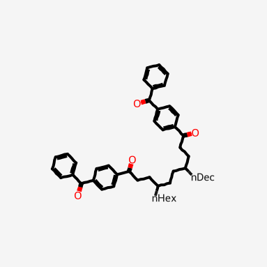 CCCCCCCCCCC(CCC(=O)c1ccc(C(=O)c2ccccc2)cc1)CCC(CCCCCC)CCC(=O)c1ccc(C(=O)c2ccccc2)cc1